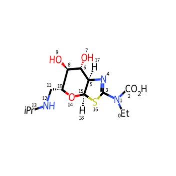 CCN(C(=O)O)C1=N[C@@H]2[C@@H](O)[C@H](O)[C@@H](CNC(C)C)O[C@@H]2S1